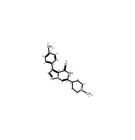 CN1CCC(c2cn3ncc(-c4ccc(N)cc4)c3c(=O)[nH]2)CC1